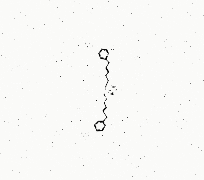 CCS(=O)(=O)N(CCCC=CCc1ccc(OC)cc1)CCCC=CCc1ccc(OC)cc1